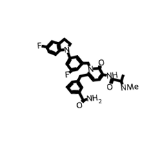 CNC(C)C(=O)Nc1ccc(Cc2cccc(C(N)=O)c2)n(Cc2cc(F)cc(N3CCc4cc(F)ccc43)c2)c1=O